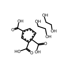 O=C(O)c1ccc(C(=O)O)c(C(=O)O)c1.OCCO.OCCO